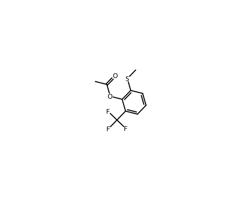 CSc1cccc(C(F)(F)F)c1OC(C)=O